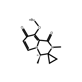 CCCCOc1c2n(ccc1=O)[C@H](C)C1(CC1)N(C)C2=O